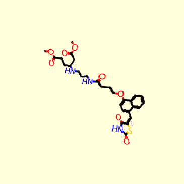 COC(=O)CCC(CC(=O)OC)NCCCNC(=O)CCCOc1ccc(/C=C2/SC(=O)NC2=O)c2ccccc12